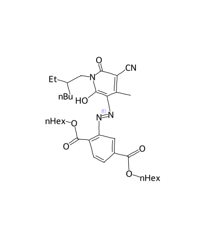 CCCCCCOC(=O)c1ccc(C(=O)OCCCCCC)c(/N=N/c2c(C)c(C#N)c(=O)n(CC(CC)CCCC)c2O)c1